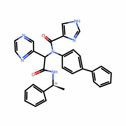 C[C@H](NC(=O)C(c1cnccn1)N(C(=O)c1c[nH]cn1)c1ccc(-c2ccccc2)cc1)c1ccccc1